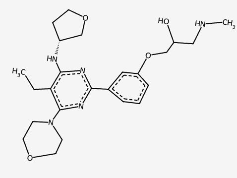 CCc1c(N[C@@H]2CCOC2)nc(-c2cccc(OCC(O)CNC)c2)nc1N1CCOCC1